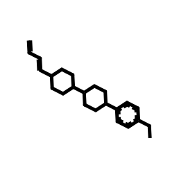 C=CC=CC1CCC(C2CCC(c3ccc(CC)cc3)CC2)CC1